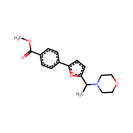 COC(=O)c1ccc(-c2ccc(C(C)N3CCOCC3)o2)cc1